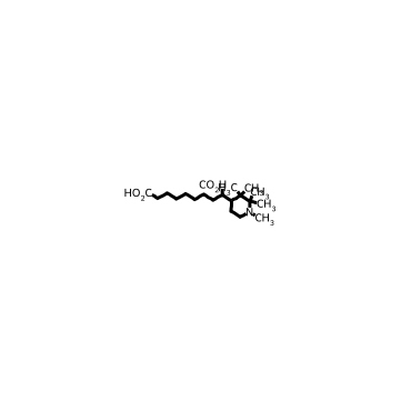 CN1CCC(C(CCCCCCCC(=O)O)C(=O)O)C(C)(C)C1(C)C